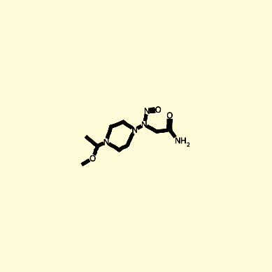 COC(C)N1CCN(N(CC(N)=O)N=O)CC1